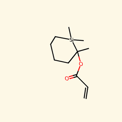 C=CC(=O)OC1(C)CCCC[Si]1(C)C